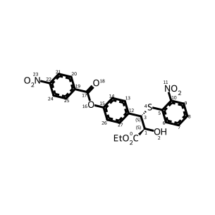 CCOC(=O)[C@H](O)[C@@H](Sc1ccccc1[N+](=O)[O-])c1ccc(OC(=O)c2ccc([N+](=O)[O-])cc2)cc1